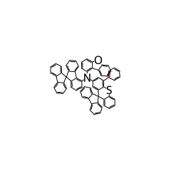 c1ccc(-c2cc(N(c3cccc4c3-c3ccccc3C43c4ccccc4-c4ccccc43)c3cccc4oc5ccccc5c34)cc3c2Sc2ccccc2C32c3ccccc3-c3ccccc32)cc1